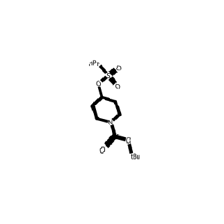 CCCS(=O)(=O)OC1CCN(C(=O)OC(C)(C)C)CC1